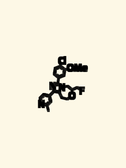 COc1cc(-c2nc(-c3ccnc(C)c3)c3n2CC(CF)OCC3)ccc1Cl